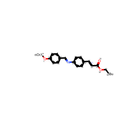 CCCCCCCCOc1ccc(C=Nc2ccc(/C=C/C(=O)OCC(C)CC)cc2)cc1